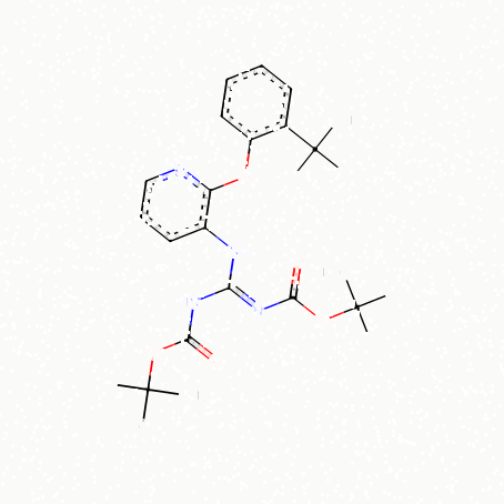 CC(C)(C)OC(=O)/N=C(/NC(=O)OC(C)(C)C)Nc1cccnc1Oc1ccccc1C(C)(C)C